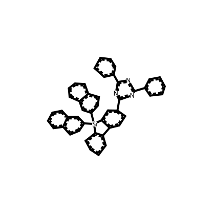 c1ccc(-c2nc(-c3ccccc3)nc(-c3ccc4c(c3)[Si](c3ccc5ccccc5c3)(c3ccc5ccccc5c3)c3ccccc3-4)n2)cc1